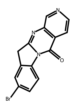 O=c1c2ccncc2nc2n1-c1ccc(Br)cc1C2